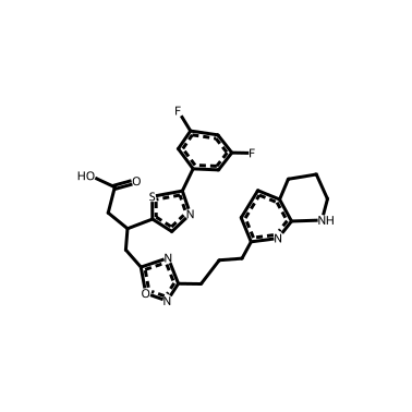 O=C(O)CC(Cc1nc(CCCc2ccc3c(n2)NCCC3)no1)c1cnc(-c2cc(F)cc(F)c2)s1